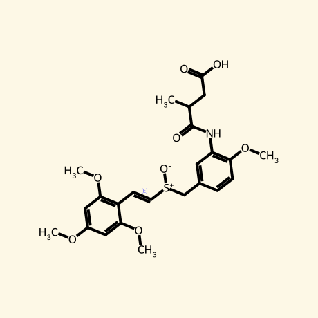 COc1cc(OC)c(/C=C/[S+]([O-])Cc2ccc(OC)c(NC(=O)C(C)CC(=O)O)c2)c(OC)c1